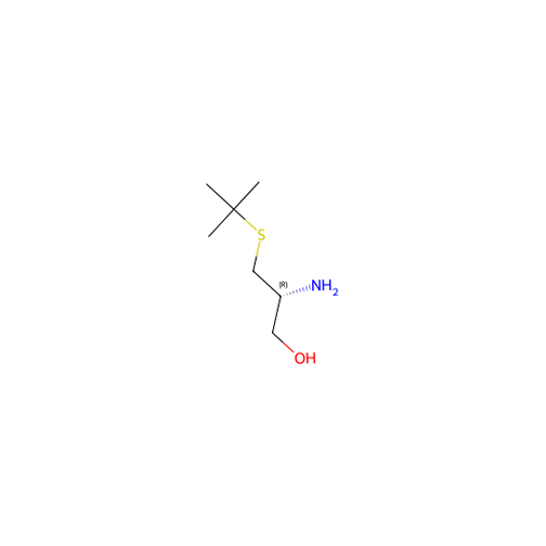 CC(C)(C)SC[C@H](N)CO